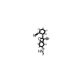 CNCc1ccc2oc(-c3ccccc3C#N)c(Br)c2c1